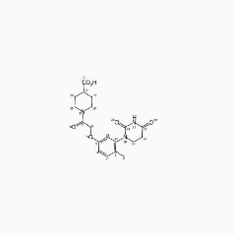 Cc1ccc(OCC(=O)N2CCC(C(=O)O)CC2)cc1N1CCC(=O)NC1=O